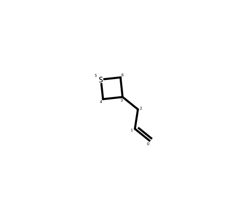 C=CCC1CSC1